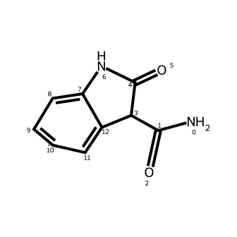 NC(=O)C1C(=O)Nc2cc[c]cc21